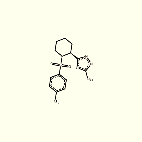 CC(C)(C)c1nnc([C@@H]2CCCCN2S(=O)(=O)c2ccc(C(F)(F)F)cc2)o1